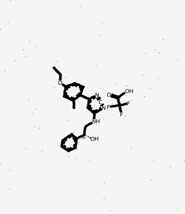 CCOc1ccc(-c2cc(NC[C@H](O)c3ccccc3)ncn2)c(C)c1.O=C(O)C(F)(F)F